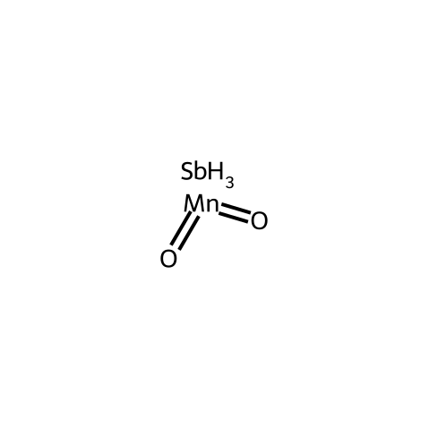 [O]=[Mn]=[O].[SbH3]